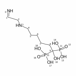 N=CCNCCCCCC(O)(P(=O)(O)O)P(=O)(O)O